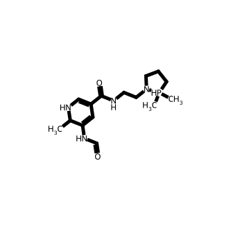 CC1NC=C(C(=O)NCCN2CCC[PH]2(C)C)C=C1NC=O